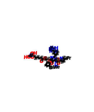 COc1ccccc1Oc1c(NS(=O)(=O)c2ccc(C(C)C)cn2)nc(-c2ccnc(-c3nnn[nH]3)c2)nc1OCCOC(=O)CCCCCON(O)O